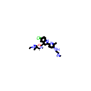 CCn1ncc([C@@H](C)N(C)C(=O)c2cc(-c3ccc(NCCN(C)C)c(C)n3)nc3ccc(Cl)cc23)c1C